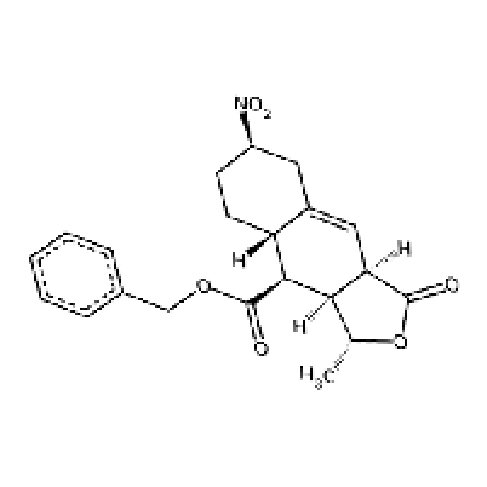 C[C@H]1OC(=O)[C@@H]2C=C3C[C@H]([N+](=O)[O-])CC[C@H]3[C@H](C(=O)OCc3ccccc3)[C@H]12